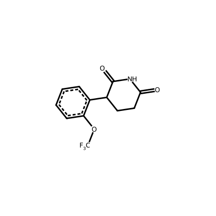 O=C1CCC(c2ccccc2OC(F)(F)F)C(=O)N1